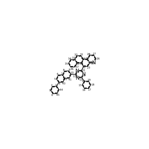 c1ccc(-c2ccc3ccc(-c4nc(-c5ccccc5)nc(-c5cc6ncccc6c6ccc7ccccc7c56)n4)cc3c2)cc1